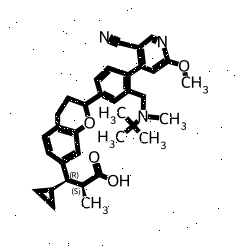 COc1cc(-c2ccc(C3CCc4ccc([C@H](C5CC5)[C@H](C)C(=O)O)cc4O3)cc2CN(C)C(C)(C)C)c(C#N)cn1